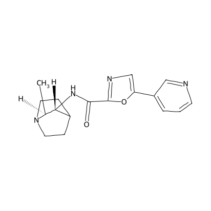 C[C@H]1[C@H](NC(=O)c2ncc(-c3cccnc3)o2)C2CCN1CC2